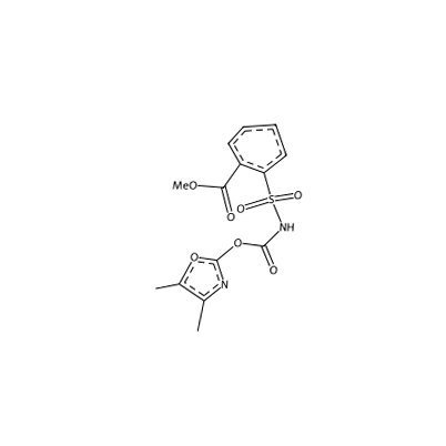 COC(=O)c1ccccc1S(=O)(=O)NC(=O)Oc1nc(C)c(C)o1